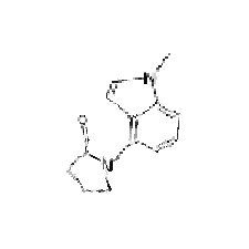 Cn1ccc2c(N3CCCC3=O)cccc21